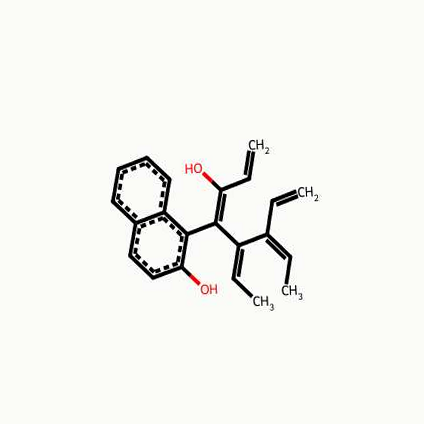 C=CC(=C/C)/C(=C\C)C(=C(/O)C=C)/c1c(O)ccc2ccccc12